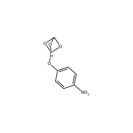 O=[N+]([O-])c1ccc(O[PH]23OC(O2)O3)cc1